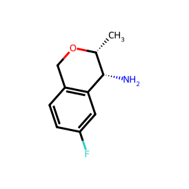 C[C@H]1OCc2ccc(F)cc2[C@H]1N